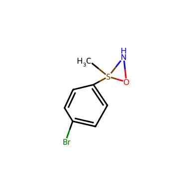 CS1(c2ccc(Br)cc2)NO1